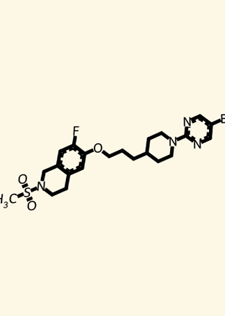 CCc1cnc(N2CCC(CCCOc3cc4c(cc3F)CN(S(C)(=O)=O)CC4)CC2)nc1